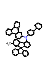 Cc1ccc2c(c1)C1(c3ccccc3-c3ccccc31)c1cccc(N(c3ccc(-c4ccccc4)cc3)c3ccc4c5ccccc5c5ccccc5c4c3)c1-2